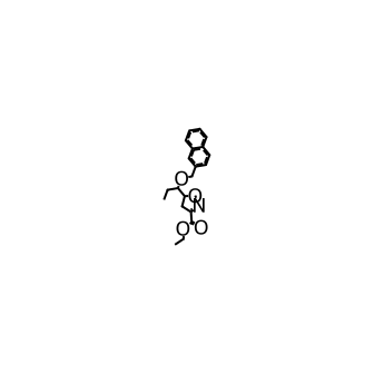 CCOC(=O)C1=NOC(C(CC)OCc2ccc3ccccc3c2)C1